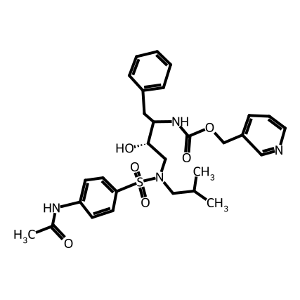 CC(=O)Nc1ccc(S(=O)(=O)N(CC(C)C)C[C@H](O)C(Cc2ccccc2)NC(=O)OCc2cccnc2)cc1